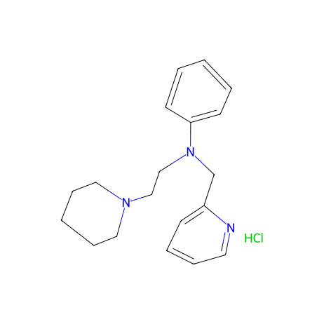 Cl.c1ccc(N(CCN2CCCCC2)Cc2ccccn2)cc1